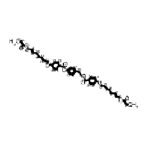 C=CC(=O)OCCCCCCCCOc1ccc(C(=O)OCCc2ccc(OC(=O)c3ccc(OCCCCCCCCOC(=O)C=C)cc3)cc2)cc1